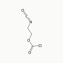 O=C=NCCOC(=O)Cl